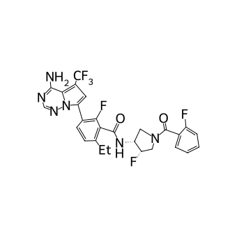 CCc1ccc(-c2cc(C(F)(F)F)c3c(N)ncnn23)c(F)c1C(=O)N[C@@H]1CN(C(=O)c2ccccc2F)C[C@@H]1F